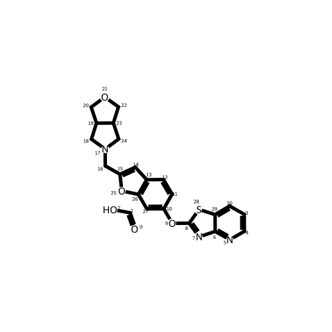 O=CO.c1cnc2nc(Oc3ccc4cc(CN5CC6COCC6C5)oc4c3)sc2c1